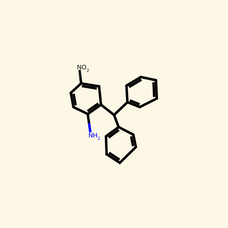 Nc1ccc([N+](=O)[O-])cc1C(c1ccccc1)c1ccccc1